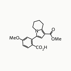 COC(=O)c1cc(-c2cc(OC)ccc2C(=O)O)n2c1CCCC2